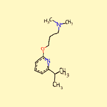 CC(C)c1cccc(OCCCN(C)C)n1